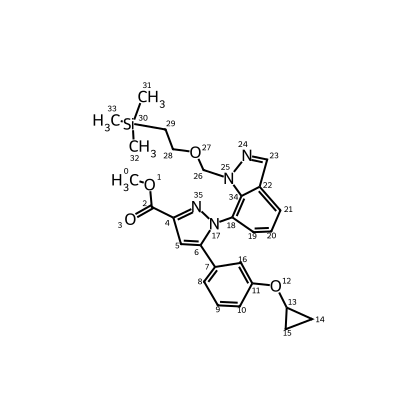 COC(=O)c1cc(-c2cccc(OC3CC3)c2)n(-c2cccc3cnn(COCC[Si](C)(C)C)c23)n1